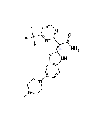 CN1CCN(c2ccc3c(c2)S/C(=C(/C(N)=O)c2nccc(C(F)(F)F)n2)N3)CC1